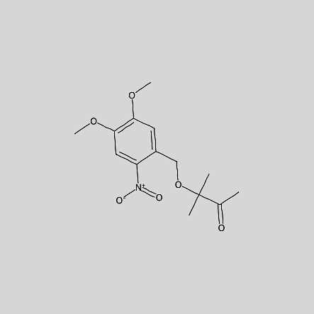 COc1cc(COC(C)(C)C(C)=O)c([N+](=O)[O-])cc1OC